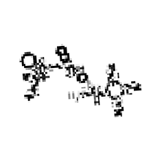 CC(C)(C)OC(=O)CC[C@H](NC(=O)N[C@@H](CCCCNC(=O)[C@H](Cc1ccc2ccccc2c1)NC(=O)[C@H]1CC[C@H](CNC(=O)[C@H](CCN)NC(=O)CN2CCN(CC(=O)OC(C)(C)C)CCN(CC(=O)OC(C)(C)C)CCN(CC(=O)OC(C)(C)C)CC2)CC1)C(=O)OC1CCCCCCCCC1)C(=O)OC(C)(C)C